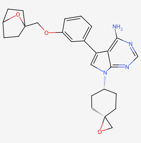 Nc1ncnc2c1c(-c1cccc(OCC34CCC(CC3)O4)c1)cn2[C@H]1CC[C@]2(CC1)CO2